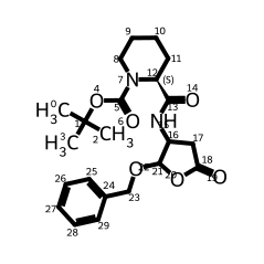 CC(C)(C)OC(=O)N1CCCC[C@H]1C(=O)NC1CC(=O)OC1OCc1ccccc1